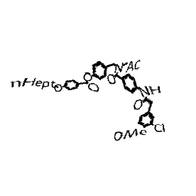 CCCCCCCOc1ccc(C(=O)Oc2ccc(CN(CC(C)=O)C(=O)c3ccc(NC(=O)Cc4ccc(OC)c(Cl)c4)cc3)cc2)cc1